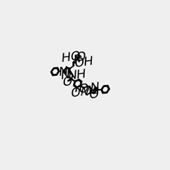 COc1cc(C(=O)Nc2nn(-c3ccccc3)cc2C=CP(=O)(O)O)ccc1OCc1nc(-c2ccccc2)oc1C